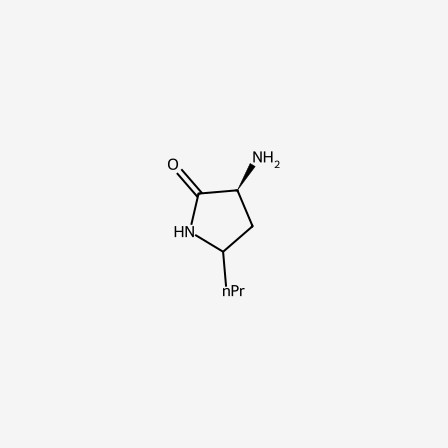 C[CH]CC1C[C@H](N)C(=O)N1